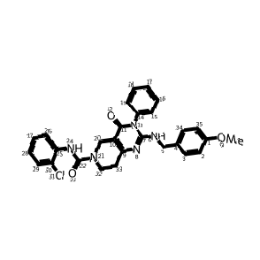 COc1ccc(CNc2nc3c(c(=O)n2-c2ccccc2)CN(C(=O)Nc2ccccc2Cl)CC3)cc1